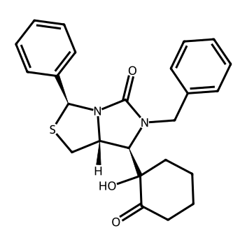 O=C1N(Cc2ccccc2)[C@@H](C2(O)CCCCC2=O)[C@@H]2CS[C@@H](c3ccccc3)N12